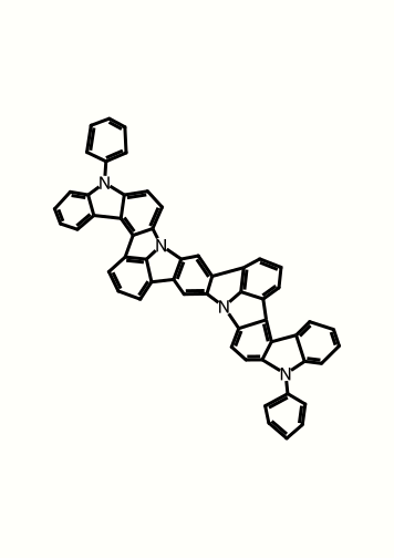 c1ccc(-n2c3ccccc3c3c4c5cccc6c7cc8c(cc7n(c4ccc32)c65)c2cccc3c4c5c6ccccc6n(-c6ccccc6)c5ccc4n8c23)cc1